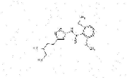 CCC(C)CCc1cc(NC(=O)c2c(OC)cccc2OC)on1